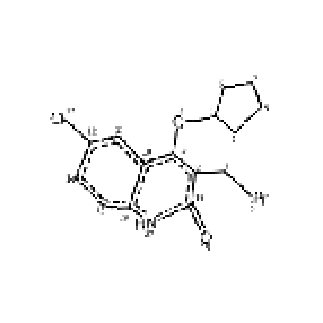 CC(C)Cc1c(OC2CCCC2)c2cc(Cl)ccc2[nH]c1=O